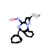 O=C(O)c1cc2c(=NO)nc(-c3ccccc3)c3ccccc3n2n1